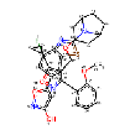 Oc1cc(-c2cc(F)c3nc(N4C5CCC4CC(OCc4c(-c6ccccc6OC(F)(F)F)noc4C4CC4)C5)sc3c2)on1